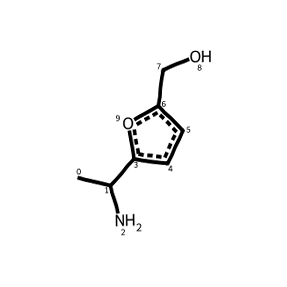 CC(N)c1ccc(CO)o1